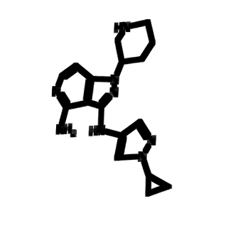 Nc1nccc2c1c(Nc1cnn(C3CC3)c1)nn2C1CCCNC1